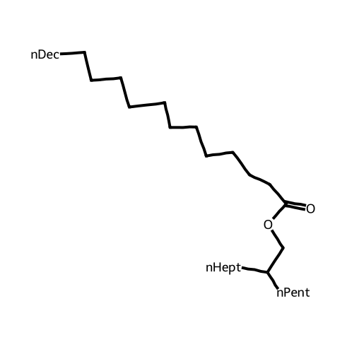 CCCCCCCCCCCCCCCCCCCCCC(=O)OCC(CCCCC)CCCCCCC